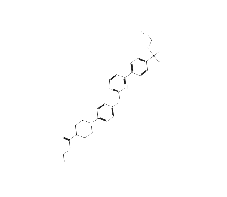 N#CCNC(I)(c1ccc(-c2ccnc(Nc3ccc(N4CCC(C(=O)SCF)CC4)cc3)n2)cc1)C(F)(F)F